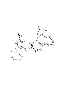 CCCCc1nc(C2CCCCC2)n(Cc2ccc(-c3ccccc3-c3ncn[nH]3)cc2)n1